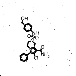 NC(=O)c1c(Cl)c(-c2ccccc2)n2c1CN(S(=O)(=O)Nc1ccc(CO)cc1)CC2